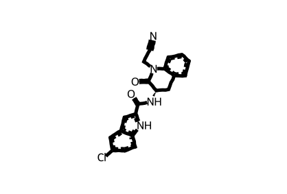 N#CCN1C(=O)[C@@H](NC(=O)c2cc3cc(Cl)ccc3[nH]2)Cc2ccccc21